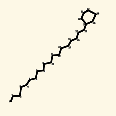 CCCCCCCCCCCCCCCCCCCC1CCCCC1